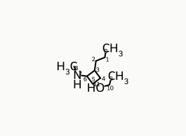 CCCC1CCC1NC.CCO